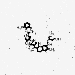 C\C=C(C)/C(=C\N=C(/C)Oc1c(F)cccc1P)n1ncc(C(=O)C2CCc3cc(C)c(NSC(CC)CCO)cc3N2)c1N